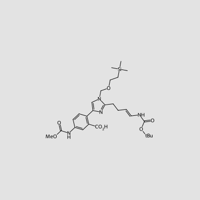 COC(=O)Nc1ccc(-c2cn(COCC[Si](C)(C)C)c(CCC=CNC(=O)OC(C)(C)C)n2)c(C(=O)O)c1